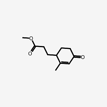 COC(=O)CCC1CCC(=O)C=C1C